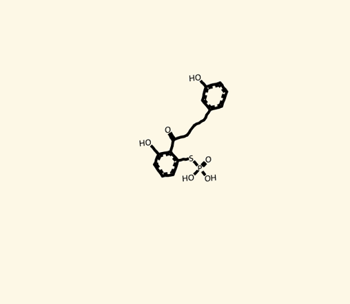 O=C(CCCc1cccc(O)c1)c1c(O)cccc1SP(=O)(O)O